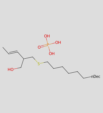 CC=CC(CO)CSCCCCCCCCCCCCCCCC.O=P(O)(O)O